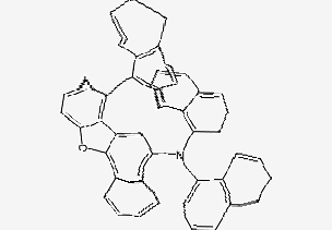 C1=Cc2c(cccc2-c2cccc3oc4c5ccccc5c(N(C5=c6ccccc6=CCC5)c5cccc6c5C=CCC6)cc4c23)CC1